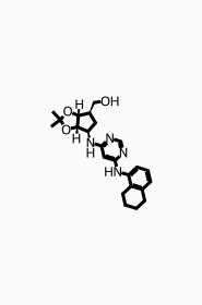 CC1(C)O[C@@H]2[C@@H](CO)C[C@@H](Nc3cc(Nc4cccc5c4CCCC5)ncn3)[C@@H]2O1